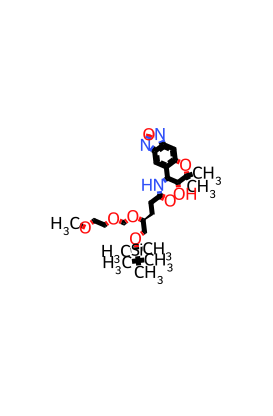 COCCOCO[C@@H](CCC(=O)NC1c2cc3nonc3cc2OC(C)(C)C1O)CO[Si](C)(C)C(C)(C)C